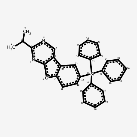 CC(C)c1ncc2c(n1)oc1ccc([Si](c3ccccc3)(c3ccccc3)c3ccccc3)cc12